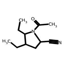 CCC1CC(C#N)N(C(C)=O)C1CC